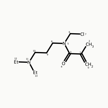 C=C(C)C(=O)N(CCl)CCCN(CC)CC